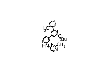 Cc1nccc(Nc2cc(-c3cc(OC(C)(C)C)nc(-c4cnccc4C)c3)ccn2)n1